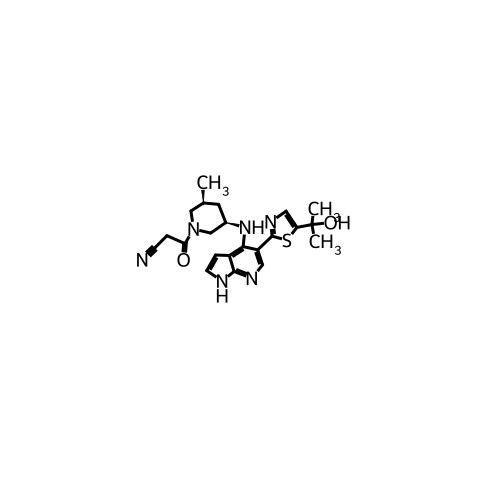 C[C@H]1C[C@@H](Nc2c(-c3ncc(C(C)(C)O)s3)cnc3[nH]ccc23)CN(C(=O)CC#N)C1